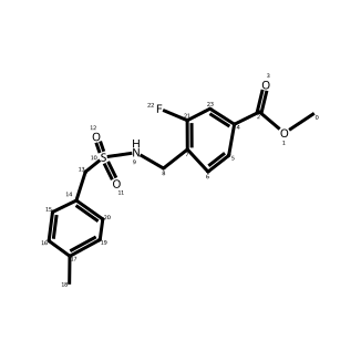 COC(=O)c1ccc(CNS(=O)(=O)Cc2ccc(C)cc2)c(F)c1